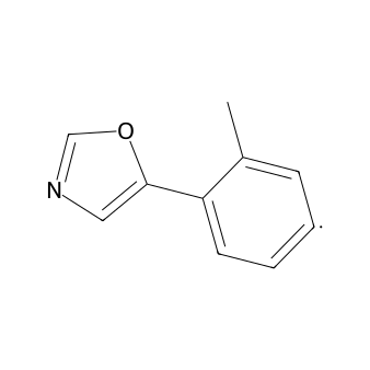 Cc1c[c]ccc1-c1cnco1